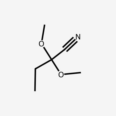 CCC(C#N)(OC)OC